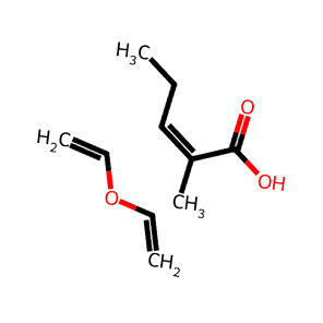 C=COC=C.CCC=C(C)C(=O)O